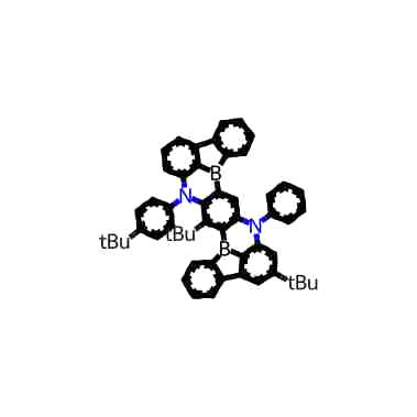 CC(C)(C)c1ccc(N2c3cccc4c3B(c3ccccc3-4)c3cc4c(c(C(C)(C)C)c32)B2c3ccccc3-c3cc(C(C)(C)C)cc(c32)N4c2ccccc2)cc1